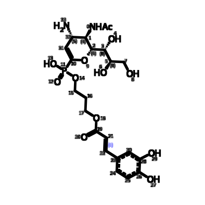 CC(=O)N[C@H]1[C@H]([C@H](O)[C@H](O)CO)OC(P(=O)(O)OCCCOC(=O)/C=C/c2ccc(O)c(O)c2)=C[C@@H]1N